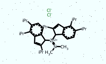 CC(C)C1=Cc2c(ccc(C(C)C)c2C(C)C)[CH]1[Zr+2]([CH]1C(C(C)C)=Cc2c1ccc(C(C)C)c2C(C)C)=[Si](C)C.[Cl-].[Cl-]